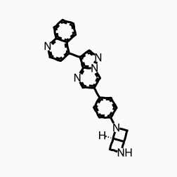 c1ccc2c(-c3cnn4cc(-c5ccc(N6CC7NC[C@H]76)cc5)cnc34)ccnc2c1